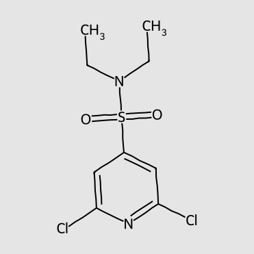 CCN(CC)S(=O)(=O)c1cc(Cl)nc(Cl)c1